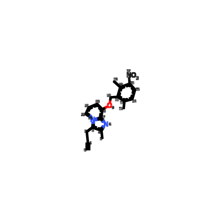 C#CCc1c(C)nc2c(OCc3c(C)ccc([N+](=O)[O-])c3C)cccn12